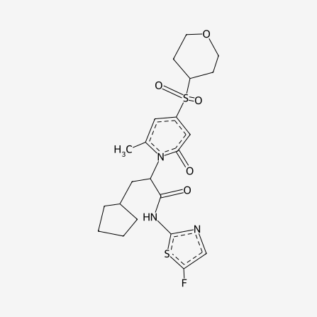 Cc1cc(S(=O)(=O)C2CCOCC2)cc(=O)n1C(CC1CCCC1)C(=O)Nc1ncc(F)s1